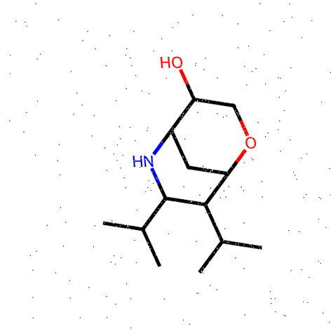 CC(C)C1NC2CC(OCC2O)C1C(C)C